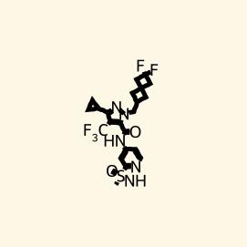 CS(=N)(=O)c1cc(NC(=O)c2c(C(F)(F)F)c(C3CC3)nn2CC2CC3(C2)CC(F)(F)C3)ccn1